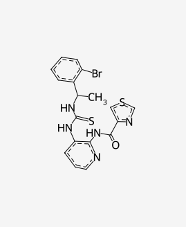 CC(NC(=S)Nc1cccnc1NC(=O)c1cscn1)c1ccccc1Br